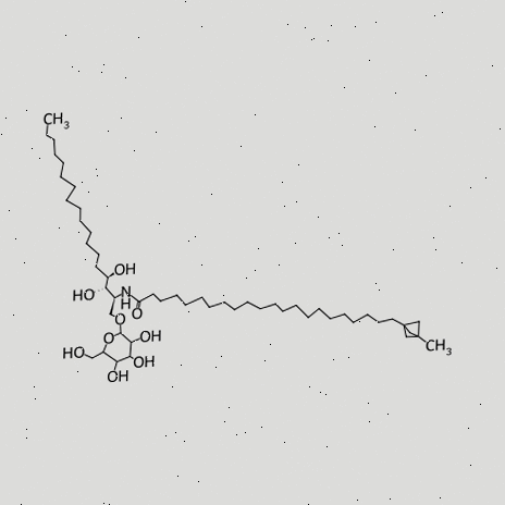 CCCCCCCCCCCCCC[C@@H](O)[C@@H](O)[C@H](COC1OC(CO)C(O)C(O)C1O)NC(=O)CCCCCCCCCCCCCCCCCCCCCC12CC(C)(C1)C2